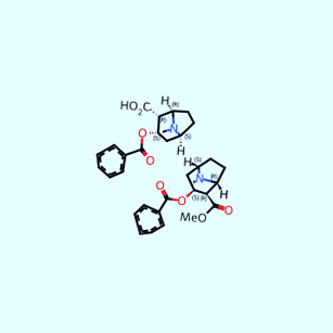 CN1[C@H]2CC[C@@H]1[C@@H](C(=O)O)[C@@H](OC(=O)c1ccccc1)C2.COC(=O)[C@H]1[C@@H](OC(=O)c2ccccc2)C[C@@H]2CC[C@H]1N2C